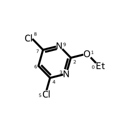 CCOc1nc(Cl)cc(Cl)n1